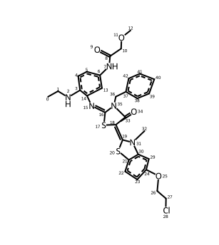 CCNc1ccc(NC(=O)COC)cc1/N=C1/S/C(=C2\Sc3ccc(OCCCl)cc3N2C)C(=O)N1Cc1ccccc1